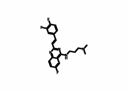 CN(C)CCCNc1nc(C=Cc2ccc(F)c(F)c2)nc2ccc(F)cc12